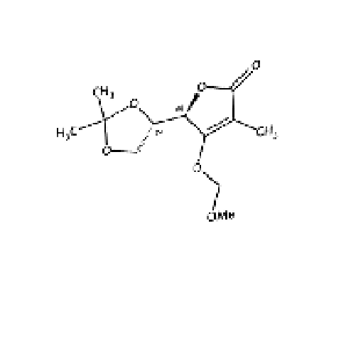 COCOC1=C(C)C(=O)O[C@@H]1[C@@H]1COC(C)(C)O1